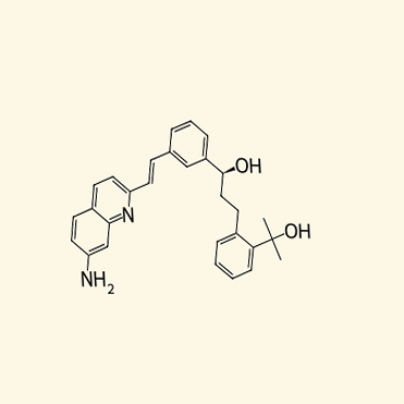 CC(C)(O)c1ccccc1CC[C@H](O)c1cccc(/C=C/c2ccc3ccc(N)cc3n2)c1